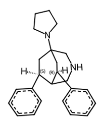 c1ccc([C@H]2CC3(N4CCCC4)CNCC2[C@H](c2ccccc2)C3)cc1